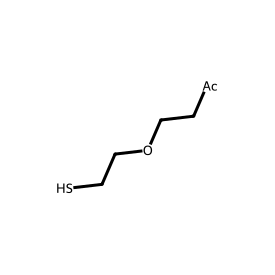 CC(=O)CCOCCS